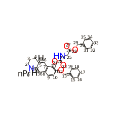 CCCN1CCC[C@@H]2Cc3c(ccc(OCc4ccccc4)c3OC(=O)NCC(=O)OCc3ccccc3)C[C@H]21